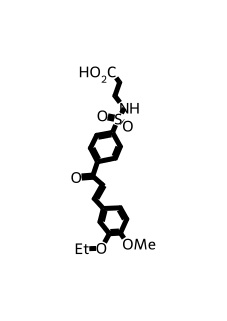 CCOc1cc(C=CC(=O)c2ccc(S(=O)(=O)NCCC(=O)O)cc2)ccc1OC